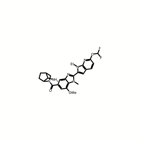 CCn1c(-c2nc3cc(C(=O)N4CC5CCC4C5N)cc(OC)c3n2C)cc2ccc(OC(F)F)nc21